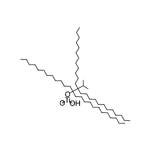 CCCCCCCCCCCCC(CCCCCCCCCCCC)([O][Ti](=[O])[OH])C(CCCCCCCCCCCC)(CCCCCCCCCCCC)C(C)C